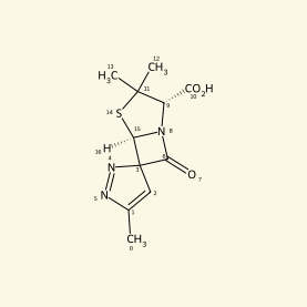 CC1=CC2(N=N1)C(=O)N1[C@@H](C(=O)O)C(C)(C)S[C@@H]12